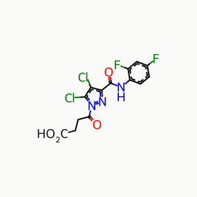 O=C(O)CCC(=O)n1nc(C(=O)Nc2ccc(F)cc2F)c(Cl)c1Cl